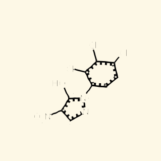 O=[N+]([O-])c1cnn(-c2ccc(Cl)c(Cl)c2Cl)c1O